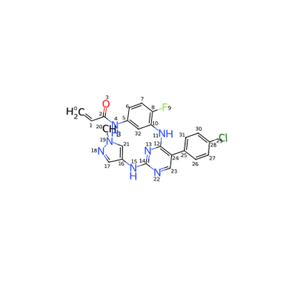 C=CC(=O)Nc1ccc(F)c(Nc2nc(Nc3cnn(C)c3)ncc2-c2ccc(Cl)cc2)c1